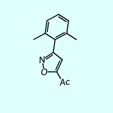 CC(=O)c1cc(-c2c(C)cccc2C)no1